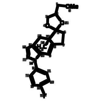 COCC1COC2(CCC3=Cc4c(cnn4-c4ccc(F)cc4)C[C@@]32C)O1